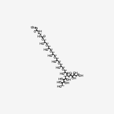 CC(C)(C)OC(=O)NCCNC(=O)OCC(O)COCC(O)COCC(O)COCC(O)COCC(O)COCC(O)CN(C[C@H](O)[C@@H](O)[C@H](O)[C@H](O)CO)C[C@H](O)[C@@H](O)[C@H](O)CCO